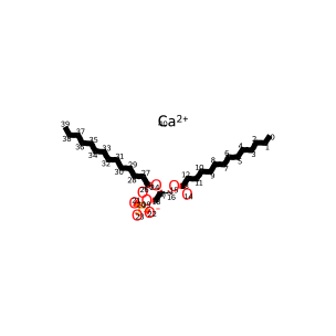 CCCCCCCCCCCCCC(=O)OC[C@H](COP(=O)([O-])[O-])OC(=O)CCCCCCCCCCCCC.[Ca+2]